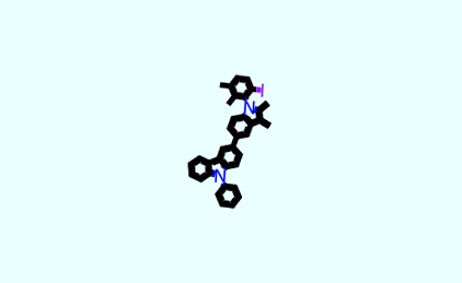 C=c1c(=C)n(-c2c(I)ccc(C)c2C)c2ccc(-c3ccc4c(c3)c3ccccc3n4-c3ccccc3)cc12